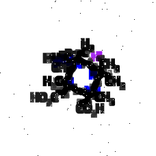 C=CC1=C(C)c2cc3[nH]c(cc4nc(cc5[nH]c(cc1n2)c(C)c5CCC(=O)O)C(CCC(=O)O)=C4C)c(C)c3C=C.CCCNN(C=O)CC.I